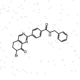 O=C(NCc1ccccc1)c1ccc(-c2ncc3c(n2)C(=O)C(Br)CC3)cc1